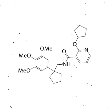 COc1cc(C2(CNC(=O)c3cccnc3OC3CCCC3)CCCC2)cc(OC)c1OC